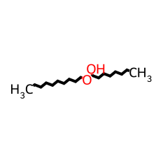 CCCCCCCCCCOC(O)CCCCCCC